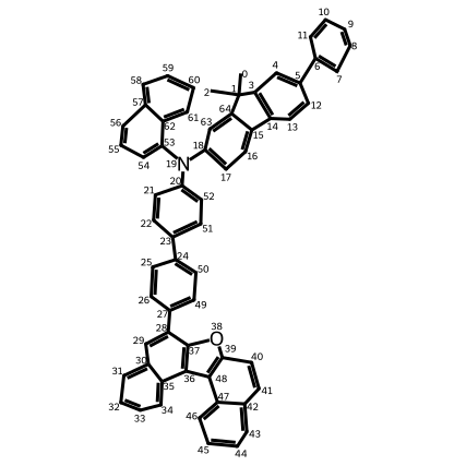 CC1(C)c2cc(-c3ccccc3)ccc2-c2ccc(N(c3ccc(-c4ccc(-c5cc6ccccc6c6c5oc5ccc7ccccc7c56)cc4)cc3)c3cccc4ccccc34)cc21